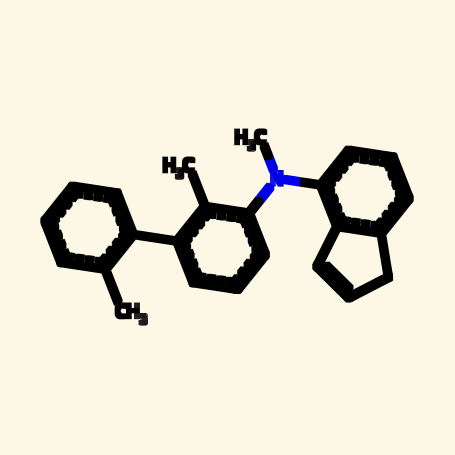 Cc1ccccc1-c1cccc(N(C)c2cccc3c2C=CC3)c1C